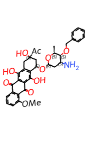 COc1cccc2c1C(=O)c1c(O)c3c(c(O)c1C2=O)C[C@@](O)(C(C)=O)C[C@@H]3O[C@H]1C[C@H](N)[C@H](OCc2ccccc2)[C@H](C)O1